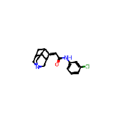 O=C(C=C1C2CC3CC1CN(C3)C2)Nc1cccc(Cl)c1